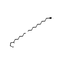 N#CCCCCCCCCCOCCCCCC1CCCO1